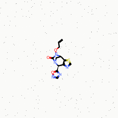 C=CCON1C(=O)N2CC1c1scnc1[C@H]2c1ncno1